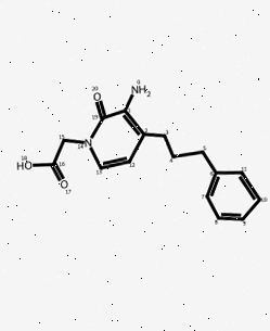 Nc1c(CCCc2ccccc2)ccn(CC(=O)O)c1=O